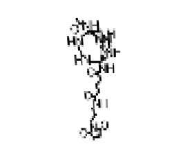 CC(=O)NC12CNCCNCC(NC(=O)CCCC(=O)NCCCN3C(=O)C=CC3=O)(CNCCNC1)CNCCNC2